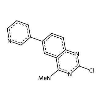 CNc1nc(Cl)nc2ccc(-c3cccnc3)cc12